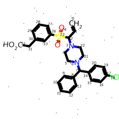 C=CC(N1CCN(C(c2ccccc2)c2ccc(Cl)cc2)CC1)S(=O)(=O)c1cccc(CC(=O)O)c1